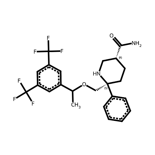 CC(OC[C@@]1(c2ccccc2)CC[C@@H](C(N)=O)CN1)c1cc(C(F)(F)F)cc(C(F)(F)F)c1